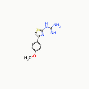 COc1ccc(-c2csc(NC(=N)N)n2)cc1